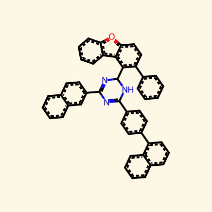 c1ccc(-c2ccc3oc4ccccc4c3c2C2N=C(c3ccc4ccccc4c3)N=C(c3ccc(-c4cccc5ccccc45)cc3)N2)cc1